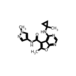 Cc1oc2ncnc(NC3(C)CC3)c2c1C(=O)Nc1cnn(C)c1